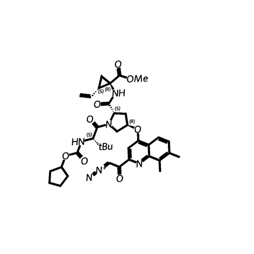 C=C[C@@H]1C[C@]1(NC(=O)[C@@H]1C[C@@H](Oc2cc(C(=O)C=[N+]=[N-])nc3c(C)c(C)ccc23)CN1C(=O)[C@@H](NC(=O)OC1CCCC1)C(C)(C)C)C(=O)OC